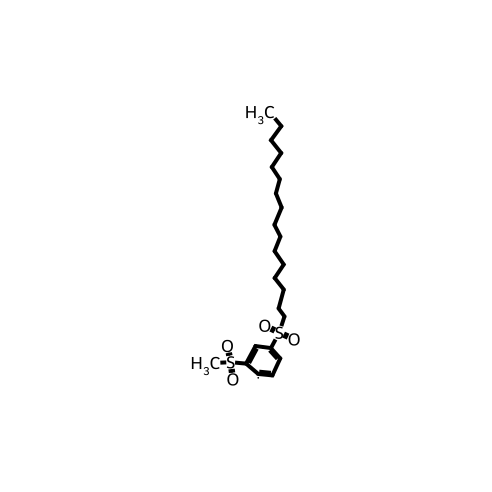 CCCCCCCCCCCCCCCCS(=O)(=O)c1cc[c]c(S(C)(=O)=O)c1